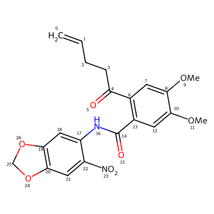 C=CCCC(=O)c1cc(OC)c(OC)cc1C(=O)Nc1cc2c(cc1[N+](=O)[O-])OCO2